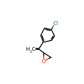 C=C(c1ccc(Cl)cc1)C1CO1